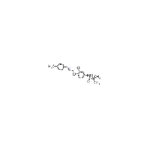 Cc1ccc(/C=C/COc2ccc(NC(=O)N(C)C)cc2Cl)cc1